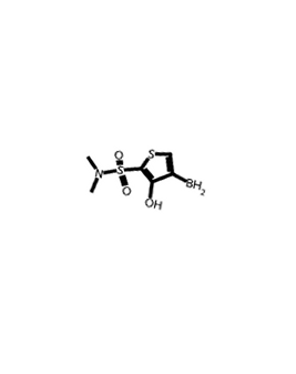 Bc1csc(S(=O)(=O)N(C)C)c1O